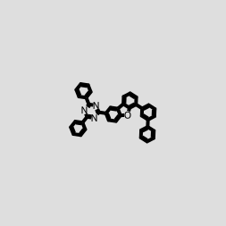 c1ccc(-c2cccc(-c3cccc4c3oc3ccc(-c5nc(-c6ccccc6)nc(-c6ccccc6)n5)cc34)c2)cc1